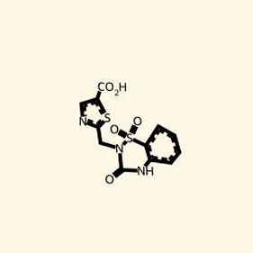 O=C(O)c1cnc(CN2C(=O)Nc3ccccc3S2(=O)=O)s1